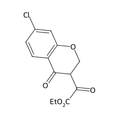 CCOC(=O)C(=O)C1COc2cc(Cl)ccc2C1=O